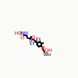 CCC(CC)(c1ccc(OCC(O)C(C)(C)C)c(C)c1)c1nc(CCC(=O)NO)co1